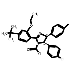 CCOc1cc(C(C)(C)C)ccc1C1=N[C@@H](c2ccc(Cl)cc2)[C@@H](c2ccc(Cl)cc2)N1C(=O)Cl